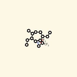 FC(F)(F)c1cc(-c2ccccc2-n2c3ccc(-c4cc(-c5cccc(-c6ccccc6)c5)cc(-c5cccc(-c6ccccc6)c5)c4)cc3c3cc(-c4cc(-c5cccc(-c6ccccc6)c5)cc(-c5cccc(-c6ccccc6)c5)c4)ccc32)cc(C(F)(F)F)c1